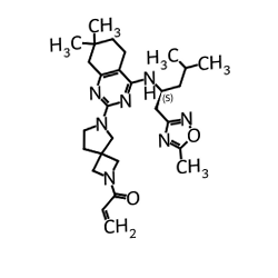 C=CC(=O)N1CC2(CCN(c3nc4c(c(N[C@H](Cc5noc(C)n5)CC(C)C)n3)CCC(C)(C)C4)C2)C1